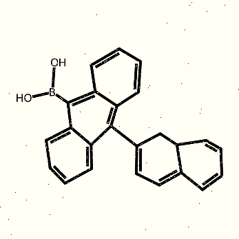 OB(O)c1c2ccccc2c(C2=CC=C3C=CC=CC3C2)c2ccccc12